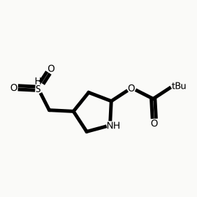 CC(C)(C)C(=O)OC1CC(C[SH](=O)=O)CN1